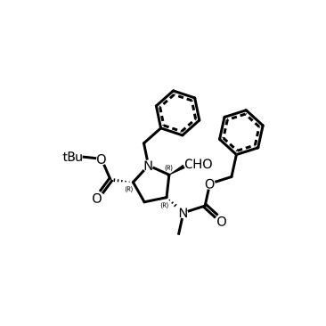 CN(C(=O)OCc1ccccc1)[C@@H]1C[C@H](C(=O)OC(C)(C)C)N(Cc2ccccc2)[C@H]1C=O